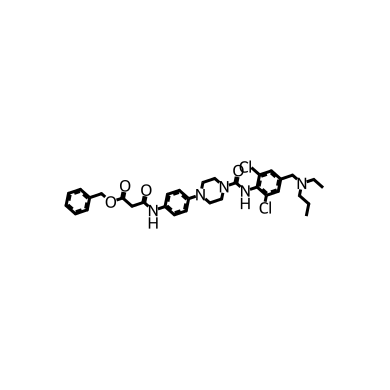 CCCN(CC)Cc1cc(Cl)c(NC(=O)N2CCN(c3ccc(NC(=O)CC(=O)OCc4ccccc4)cc3)CC2)c(Cl)c1